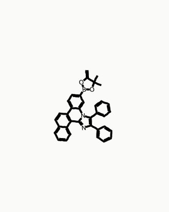 C=C1OB(c2ccc3c4ccc5ccccc5c4c4nc(-c5ccccc5)c(-c5ccccc5)n4c3c2)OC1(C)C